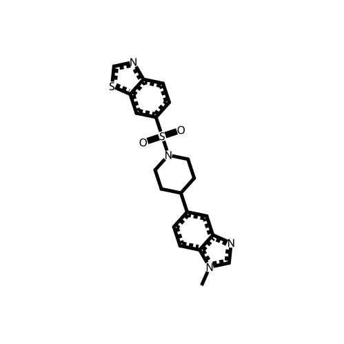 Cn1cnc2cc(C3CCN(S(=O)(=O)c4ccc5ncsc5c4)CC3)ccc21